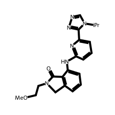 COCCN1Cc2cccc(Nc3cccc(-c4nncn4C(C)C)n3)c2C1=O